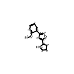 CCOc1ncccc1-c1noc(C2CCCN2)n1